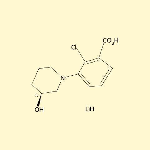 O=C(O)c1cccc(N2CCC[C@H](O)C2)c1Cl.[LiH]